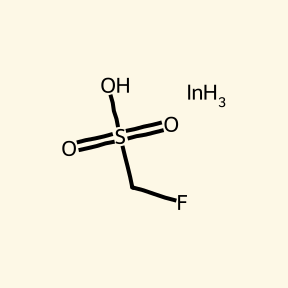 O=S(=O)(O)CF.[InH3]